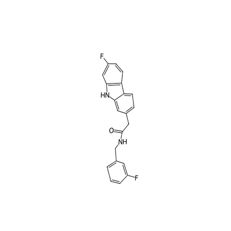 O=C(Cc1ccc2c(c1)[nH]c1cc(F)ccc12)NCc1cccc(F)c1